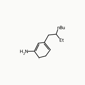 CCCCC(CC)CC1=CC[CH]C(N)=C1